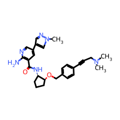 CN(C)CC#Cc1ccc(CO[C@H]2CCC[C@@H]2NC(=O)c2cc(-c3cnn(C)c3)cnc2N)cc1